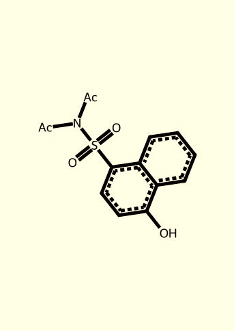 CC(=O)N(C(C)=O)S(=O)(=O)c1ccc(O)c2ccccc12